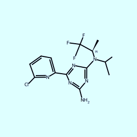 CC(C)N(c1nc(N)nc(-c2cccc(Cl)n2)n1)[C@H](C)C(F)(F)F